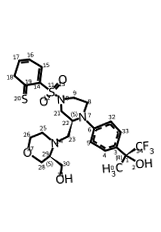 C[C@@](O)(c1ccc(N2CCN(S(=O)(=O)C3=CC=CCC3=S)C[C@@H]2CN2CCOC[C@@H]2CO)cc1)C(F)(F)F